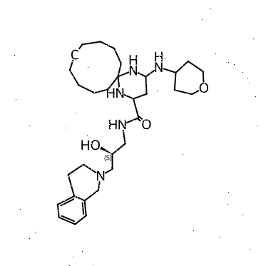 O=C(NC[C@H](O)CN1CCc2ccccc2C1)C1CC(NC2CCOCC2)NC2(CCCCCCCCC2)N1